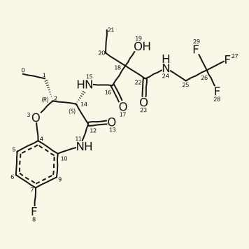 CC[C@H]1Oc2ccc(F)cc2NC(=O)[C@H]1NC(=O)C(O)(CC)C(=O)NCC(F)(F)F